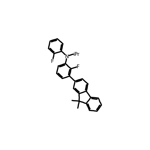 CC(C)N(c1ccccc1F)c1cccc(-c2ccc3c(c2)C(C)(C)c2ccccc2-3)c1F